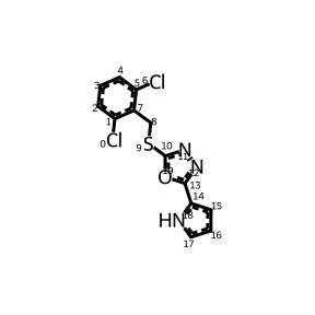 Clc1cccc(Cl)c1CSc1nnc(-c2ccc[nH]2)o1